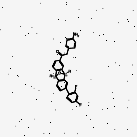 Nc1ccc(CC(=O)c2ccc3c(c2)[C@@H]2O[C@H]3c3ccc(-c4ccc(F)cc4F)cc32)cn1